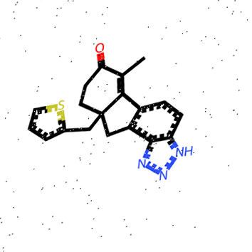 CC1=C2c3ccc4[nH]nnc4c3CC2(Cc2cccs2)CCC1=O